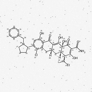 CCN(C)[C@@H]1C(O)=C(C(N)=O)C(=O)[C@@]2(O)C(O)=C3C(=O)c4c(O)cc(C5CCCN5Cc5ccccc5)c(Cl)c4C[C@H]3C[C@@H]12